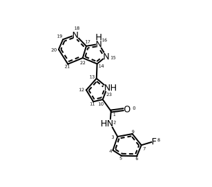 O=C(Nc1cccc(F)c1)c1ccc(-c2n[nH]c3ncccc23)[nH]1